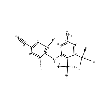 [2H]C([2H])([2H])c1c(Oc2c(F)cc(C#N)cc2F)nc(N)nc1C(F)(F)F